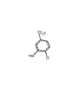 [NH]c1cc(C(=O)O)ccc1Cl